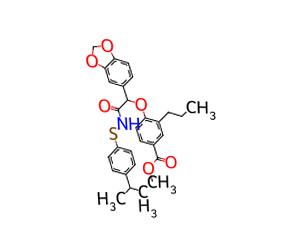 CCCc1cc(C(=O)OC)ccc1OC(C(=O)NSc1ccc(C(C)C)cc1)c1ccc2c(c1)OCO2